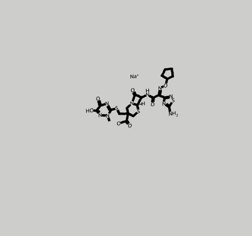 Cn1nc(O)c(=O)nc1SCC1(C(=O)[O-])CS[C@@H]2C(NC(=O)C(=NOC3CCCC3)c3nsc(N)n3)C(=O)N2C1.[Na+]